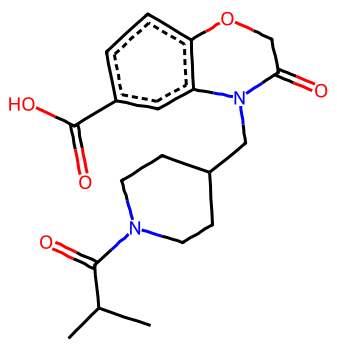 CC(C)C(=O)N1CCC(CN2C(=O)COc3ccc(C(=O)O)cc32)CC1